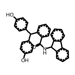 O=C(NC1c2ccccc2-c2ccccc21)c1ccccc1C(c1ccc(O)cc1)c1ccc(O)cc1